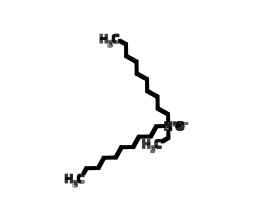 CCCCCCCCCC[N+]([O-])(CC)CCCCCCCCCC